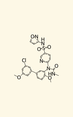 CNC(=O)N(c1ccc(S(=O)(=O)Nc2ccon2)cn1)c1cc(-c2cc(Cl)cc(OC)c2)ccc1OC